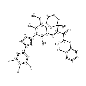 CN(Cc1ccccc1S)C(=O)[C@@H](S[C@@H]1O[C@H](CO)[C@H](O)[C@H](n2cc(-c3cc(F)c(F)c(F)c3)nn2)[C@H]1O)C1(O)CCOCC1